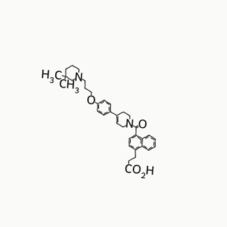 CC1(C)CCCN(CCCOc2ccc(C3=CCN(C(=O)c4ccc(CCC(=O)O)c5ccccc45)CC3)cc2)C1